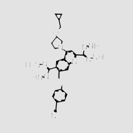 N#Cc1ccc(OCc2cc3nc(C(N=N)=NN)cc(N4CCC(OCC5CC5)C4)c3cc2C(N=N)=NN)cc1